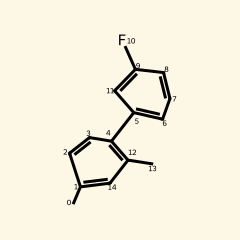 Cc1ccc(-c2cccc(F)c2)c(C)c1